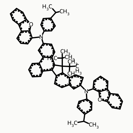 CC(C)c1ccc(N(c2ccc3c4c(ccc3c2)-c2c(c3ccc(N(c5ccc(C(C)C)cc5)c5cccc6c5oc5ccccc56)cc3c3ccccc23)C4(C(C)(C)C)C(C)(C)C)c2cccc3c2oc2ccccc23)cc1